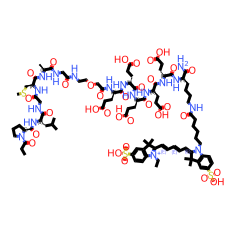 CCC(=O)N1CCC[C@H]1C(=O)N[C@@H](CC(C)C)C(=O)NCC(=O)N[C@@H](CSC)C(=O)N[C@@H](C)C(=O)NCC(=O)NCCOCC(=O)N[C@H](CCC(=O)O)C(=O)N[C@H](CCC(=O)O)C(=O)N[C@H](CCC(=O)O)C(=O)N[C@H](CCC(=O)O)C(=O)N[C@H](CCC(=O)O)C(=O)N[C@H](CCCCNC(=O)CCCCCN1/C(=C/C=C/C=C/C2=[N+](CC)c3ccc(S(=O)(=O)O)cc3C2(C)C)C(C)(C)c2cc(S(=O)(=O)O)ccc21)C(N)=O